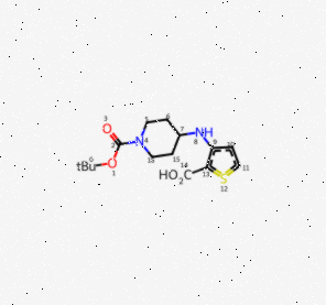 CC(C)(C)OC(=O)N1CCC(Nc2ccsc2C(=O)O)CC1